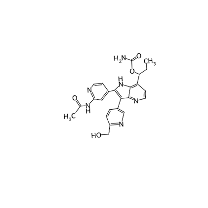 CCC(OC(N)=O)c1ccnc2c(-c3ccc(CO)nc3)c(-c3ccnc(NC(C)=O)c3)[nH]c12